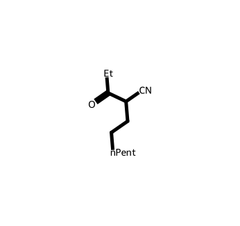 CCCCCCCC(C#N)C(=O)CC